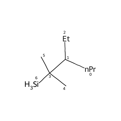 CCCC(CC)C(C)(C)[SiH3]